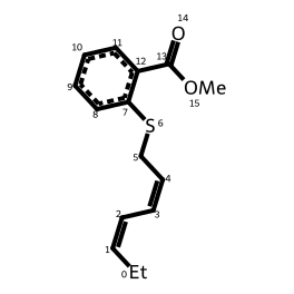 CC/C=C\C=C/CSc1ccccc1C(=O)OC